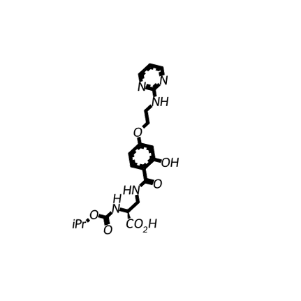 CC(C)OC(=O)N[C@@H](CNC(=O)c1ccc(OCCNc2ncccn2)cc1O)C(=O)O